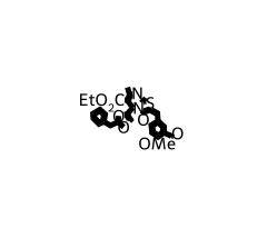 CCOC(=O)C1=C(C)N=c2sc(=Cc3cccc(C(=O)OC)c3)c(=O)n2C1C1=COC(Cc2ccccc2)O1